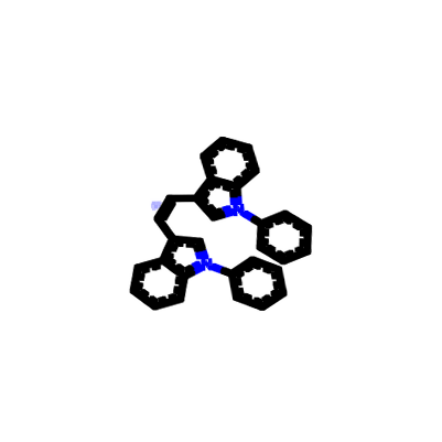 C(=C/c1cn(-c2ccccc2)c2ccccc12)/c1cn(-c2ccccc2)c2ccccc12